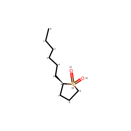 CCCCCC[C@@H]1CCCS1(=O)=O